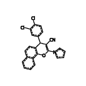 N#CC1=C(n2cccc2)Oc2c(ccc3ccccc23)C1c1ccc(Cl)c(Cl)c1